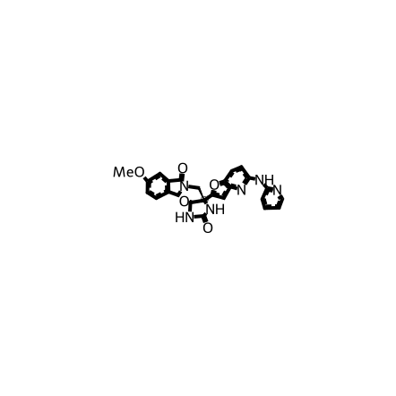 COc1ccc2c(c1)C(=O)N(C[C@@]1(c3cc4nc(Nc5ccccn5)ccc4o3)NC(=O)NC1=O)C2